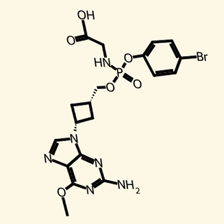 COc1nc(N)nc2c1ncn2[C@H]1C[C@@H](COP(=O)(NCC(=O)O)Oc2ccc(Br)cc2)C1